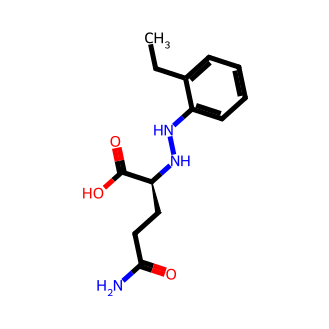 CCc1ccccc1NN[C@@H](CCC(N)=O)C(=O)O